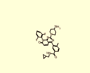 Cc1ccc(C(=O)NCC2CC2)cc1-c1nc(N2CCC(N)CC2)nc2c1ccc(=O)n2-c1c(F)cccc1F